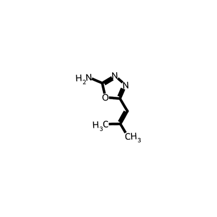 CC(C)=Cc1nnc(N)o1